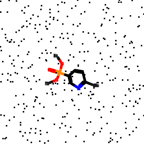 CCOP(=O)(OCC)c1ccc(C(C)(C)C)nc1